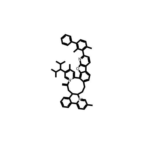 C=C1CC2c3ccccc3-c3ccc(C)c[n+]3C2CCc2ccc3c(oc4nc(-c5c(C)ccc(-c6ccccc6)c5C)ccc43)c2-c2cc(C)c(C(C(C)C)C(C)C)c[n+]21